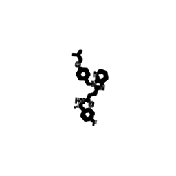 CC(C)COc1ccc(Cn2c(CCC(=O)N[C@@H](C)c3ccc(F)cc3)nc3cccnc32)cc1